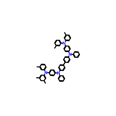 CC1=CC(N(c2ccc(N(c3ccccc3)c3ccc(-c4ccc(N(c5ccccc5)c5ccc(N(c6cccc(C)c6)c6cccc(C)c6)cc5)cc4)cc3)cc2)c2cccc(C)c2)=CC(C)C1